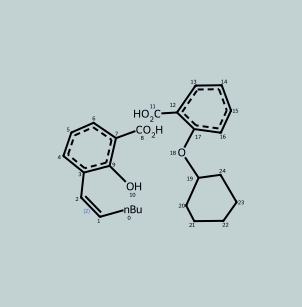 CCCC/C=C\c1cccc(C(=O)O)c1O.O=C(O)c1ccccc1OC1CCCCC1